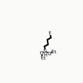 CCO[SiH](CCCCF)OCC